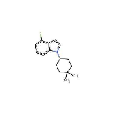 CC1(C)CCC(n2ccc3c(F)cccc32)CC1